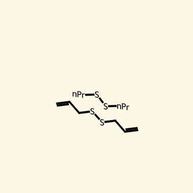 C=CCSSCC=C.CCCSSCCC